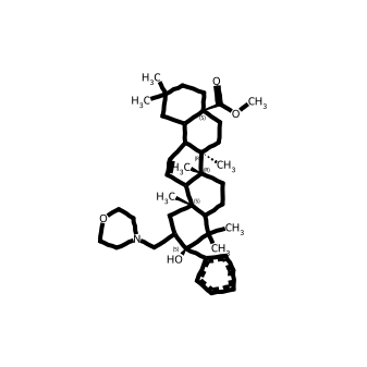 COC(=O)[C@]12CCC(C)(C)CC1C1C=CC3[C@@]4(C)CC(CN5CCOCC5)[C@@](O)(c5ccccc5)C(C)(C)C4CC[C@@]3(C)[C@]1(C)CC2